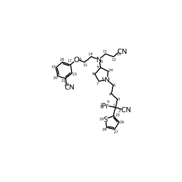 CC(C)C(C#N)(CCCN1CCC(N(CCC#N)CCOc2cccc(C#N)c2)C1)c1cccs1